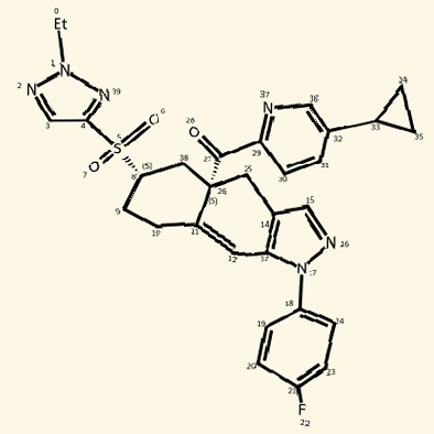 CCn1ncc(S(=O)(=O)[C@H]2CCC3=Cc4c(cnn4-c4ccc(F)cc4)C[C@]3(C(=O)c3ccc(C4CC4)cn3)C2)n1